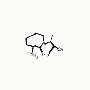 CC(C(=O)O)N1CCCCC(N)C1=O